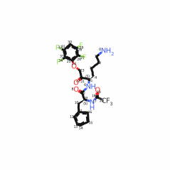 NCCCC[C@H](NC(=O)[C@H](Cc1ccccc1)NC(=O)C(F)(F)F)C(=O)COc1c(F)c(F)cc(F)c1F